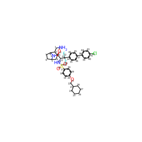 NCC1CCC2CCC1N2C(=O)[C@H](NS(=O)(=O)c1ccc(OCC2CCCCC2)cc1)C(F)(F)c1ccc(-c2ccc(Cl)cc2)cc1